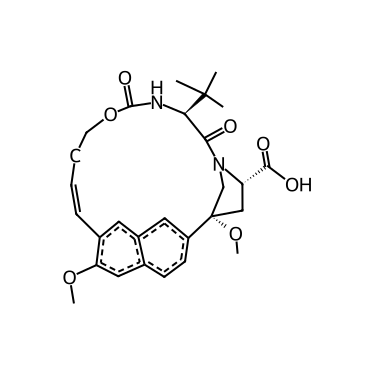 COc1cc2ccc3cc2cc1/C=C\CCOC(=O)N[C@@H](C(C)(C)C)C(=O)N1C[C@@]3(OC)C[C@H]1C(=O)O